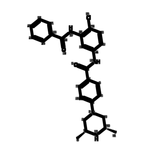 C[C@@H]1CN(c2ccc(C(=O)Nc3ccc(Cl)c(NC(=O)c4ccccc4)c3)cn2)C[C@H](C)N1